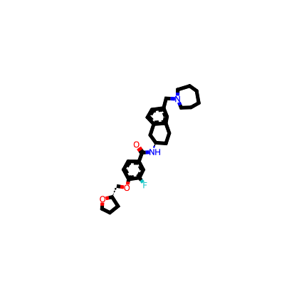 O=C(N[C@H]1CCc2cc(CN3CCCCCC3)ccc2C1)c1ccc(OC[C@@H]2CCCO2)c(F)c1